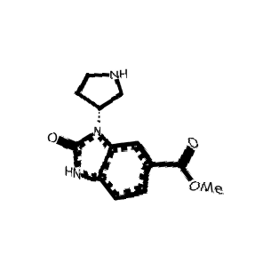 COC(=O)c1ccc2[nH]c(=O)n([C@@H]3CCNC3)c2c1